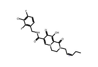 CC/C=C\CN1CCn2cc(C(=O)NCc3ccc(F)c(Cl)c3F)c(=O)c(O)c2C1=O